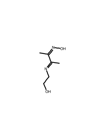 CC(=NO)C(C)=NCCO